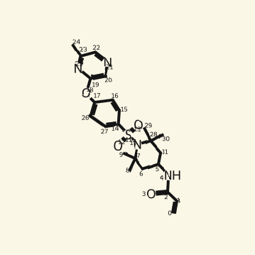 C=CC(=O)NC1CC(C)(C)N(S(=O)(=O)c2ccc(Oc3cncc(C)n3)cc2)C(C)(C)C1